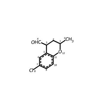 CC1CC(C=O)c2cc(Cl)ccc2O1